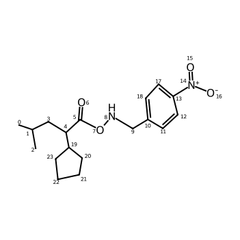 CC(C)CC(C(=O)ONCc1ccc([N+](=O)[O-])cc1)C1CCCC1